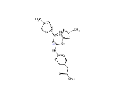 COC(=O)Cc1ccc(N/C(=N/C(=O)c2ccc(C)cc2)Nc2cc(C)n[nH]2)cc1